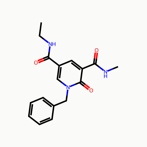 CCNC(=O)c1cc(C(=O)NC)c(=O)n(Cc2ccccc2)c1